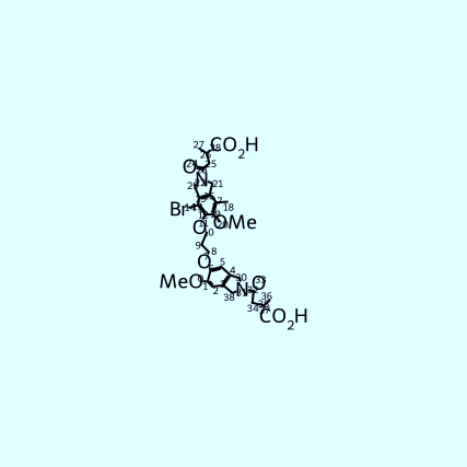 COc1cc2c(cc1OCCCOc1c(Br)c3c(c(C)c1OC)CN(C(=O)CC(C)C(=O)O)C3)CN(C(=O)CC(C)C(=O)O)C2